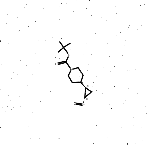 CC(C)(C)OC(=O)N1CCC([C@H]2C[C@@H]2C=O)CC1